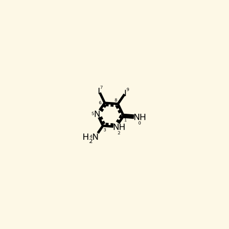 N=c1[nH]c(N)nc(I)c1I